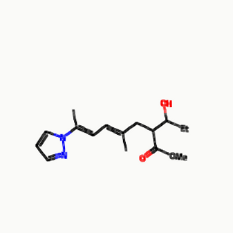 CCC(O)C(C/C(C)=C/C=C(\C)n1cccn1)C(=O)OC